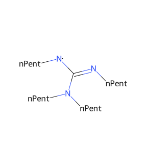 CCCCC[N]C(=NCCCCC)N(CCCCC)CCCCC